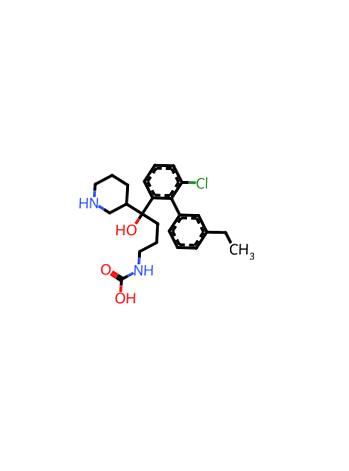 CCc1cccc(-c2c(Cl)cccc2C(O)(CCCNC(=O)O)C2CCCNC2)c1